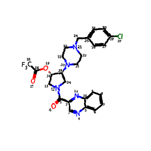 O=C(c1cnc2ccccc2n1)N1C[C@H](OC(=O)C(F)(F)F)[C@@H](N2CCN(Cc3ccc(Cl)cc3)CC2)C1